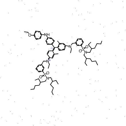 CCCCC(CC)CN(CC(CC)CCCC)S(=O)(=O)c1cccc(CN(CC)c2ccc(/C(=C3C=C/C(=[N+](/CC)Cc4cccc(S(=O)(=O)N(CC(CC)CCCC)CC(CC)CCCC)c4)C=C/3C)c3ccc(Nc4ccc(OCC)cc4)cc3)c(C)c2)c1